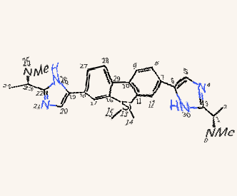 CN[C@H](C)c1ncc(-c2ccc3c(c2)[Si](C)(C)c2cc(-c4cnc([C@@H](C)NC)[nH]4)ccc2-3)[nH]1